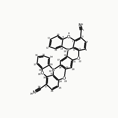 N#Cc1ccc2c3c1Oc1ccccc1B3c1cc3c(cc1O2)Oc1ccc(C#N)c2c1B3c1ccccc1O2